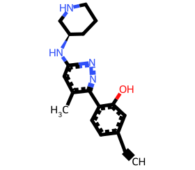 C#Cc1ccc(-c2nnc(N[C@@H]3CCCNC3)cc2C)c(O)c1